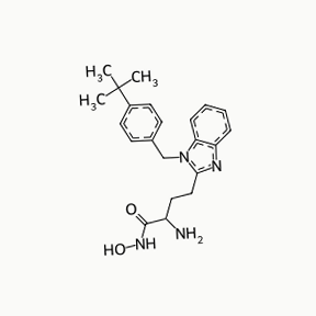 CC(C)(C)c1ccc(Cn2c(CCC(N)C(=O)NO)nc3ccccc32)cc1